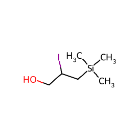 C[Si](C)(C)CC(I)CO